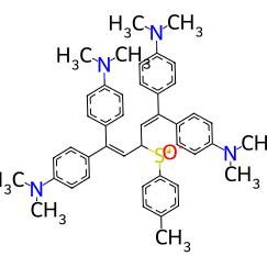 Cc1ccc([S+]([O-])C(C=C(c2ccc(N(C)C)cc2)c2ccc(N(C)C)cc2)C=C(c2ccc(N(C)C)cc2)c2ccc(N(C)C)cc2)cc1